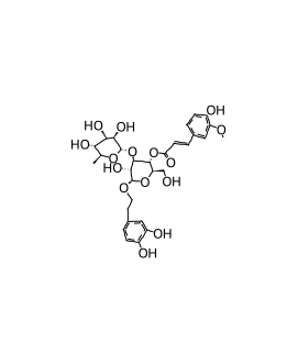 COc1cc(/C=C/C(=O)O[C@H]2[C@H](O[C@@H]3O[C@@H](C)[C@H](O)[C@@H](O)[C@H]3O)[C@@H](O)[C@H](OCCc3ccc(O)c(O)c3)O[C@@H]2CO)ccc1O